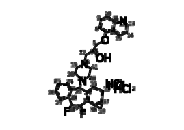 Cl.Cl.Cl.O[C@@H](COc1cccc2ncccc12)CN1CCN(C2c3ccccc3C(F)C(F)c3c2ccc2c3C2)CC1